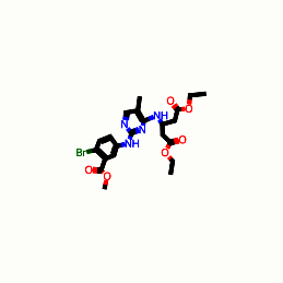 CCOC(=O)CC(CC(=O)OCC)Nc1nc(Nc2ccc(Br)c(C(=O)OC)c2)ncc1C